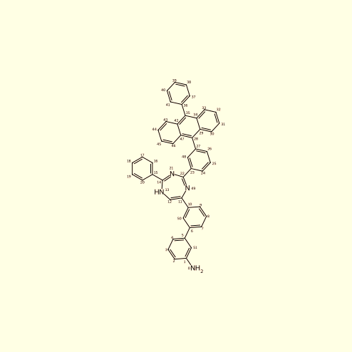 Nc1cccc(-c2cccc(C3=CNC(c4ccccc4)=NC(c4cccc(-c5c6ccccc6c(-c6ccccc6)c6ccccc56)c4)=N3)c2)c1